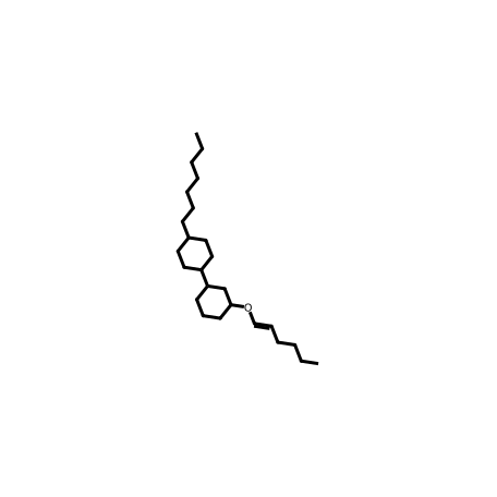 CCCC/C=C/OC1CCCC(C2CCC(CCCCCCC)CC2)C1